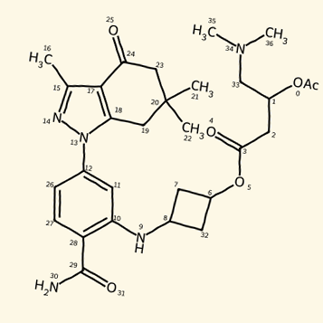 CC(=O)OC(CC(=O)OC1CC(Nc2cc(-n3nc(C)c4c3CC(C)(C)CC4=O)ccc2C(N)=O)C1)CN(C)C